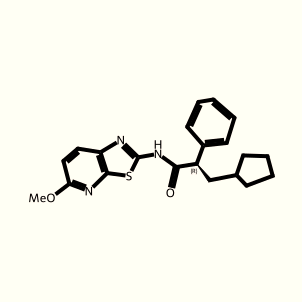 COc1ccc2nc(NC(=O)[C@H](CC3CCCC3)c3ccccc3)sc2n1